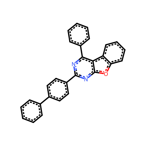 c1ccc(-c2ccc(-c3nc(-c4ccccc4)c4c(n3)oc3ccccc34)cc2)cc1